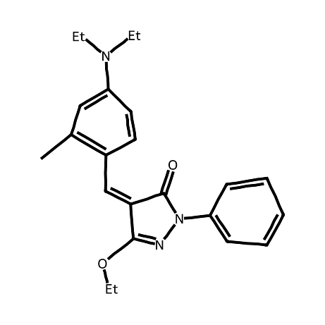 CCOC1=NN(c2ccccc2)C(=O)/C1=C\c1ccc(N(CC)CC)cc1C